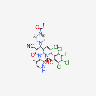 C=CC(=O)N1[C@H](C)CN(c2c(C#N)c(=O)n(C3=C(C)C=CN[C@@H]3C(C)C)c3nc(-c4c(O)c(Cl)c(Cl)c(F)c4Cl)c(Cl)cc23)C[C@@H]1C